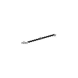 CCCCCCCCCCCCCCCCCCCCCCOCCCCCCCCCCCCBr